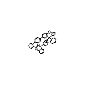 C1=CC2=C(CC1)C1(c3ccccc3Oc3ccc(-c4ccc(-c5ccccc5-c5nc(-c6ccccc6)c6ccccc6n5)cc4)cc31)c1ccccc12